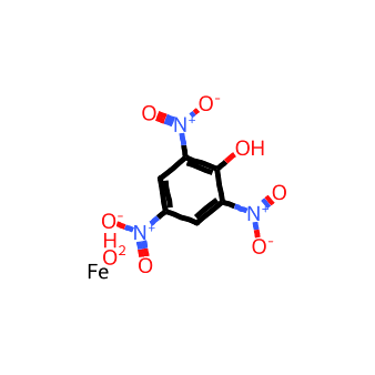 O.O=[N+]([O-])c1cc([N+](=O)[O-])c(O)c([N+](=O)[O-])c1.[Fe]